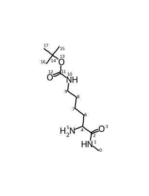 CNC(=O)C(N)CCCCNC(=O)OC(C)(C)C